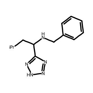 CC(C)CC(NCc1ccccc1)c1nn[nH]n1